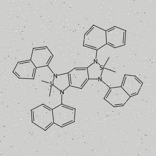 C[Si]1(C)N(c2cccc3ccccc23)c2cc3c(cc2N1c1cccc2ccccc12)N(c1cccc2ccccc12)[Si](C)(C)N3c1cccc2ccccc12